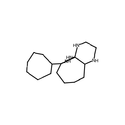 C1CCCC(C23CCCCC4NCCNC42NCCN3)CC1